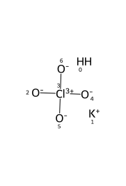 [HH].[K+].[O-][Cl+3]([O-])([O-])[O-]